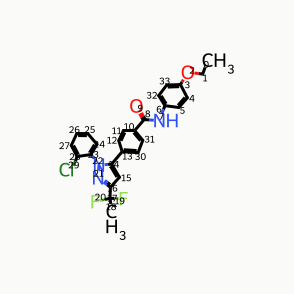 CCOc1ccc(NC(=O)c2ccc(-c3cc(C(C)(F)F)nn3-c3ccccc3Cl)cc2)cc1